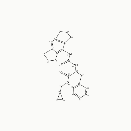 O=C(Nc1c2c(cc3c1CCC3)CCC2)NC(Cc1cccnc1)C(=O)OCC1CC1